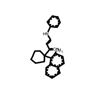 C=C(C=CNc1ccccc1)C1(c2c(C)ccc3ccccc23)CCCCC1